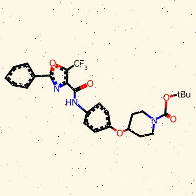 CC(C)(C)OC(=O)N1CCC(Oc2ccc(NC(=O)c3nc(-c4ccccc4)oc3C(F)(F)F)cc2)CC1